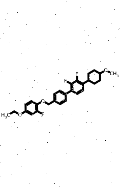 CCOc1ccc(OCc2ccc(-c3ccc(C4CCC(OC)CC4)c(F)c3F)cc2)c(F)c1